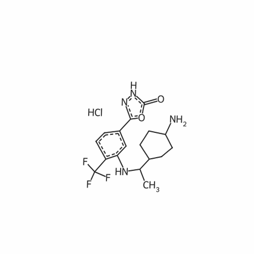 CC(Nc1cc(-c2n[nH]c(=O)o2)ccc1C(F)(F)F)C1CCC(N)CC1.Cl